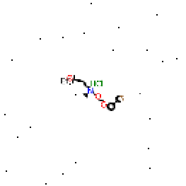 CCOC(C)(C)C#CC=CCN(CCOCCOc1cccc(-c2ccsc2)c1)C1CC1.Cl